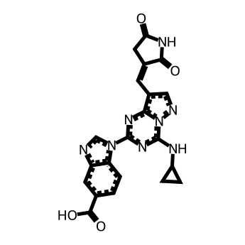 O=C1CC(=Cc2cnn3c(NC4CC4)nc(-n4cnc5cc(C(=O)O)ccc54)nc23)C(=O)N1